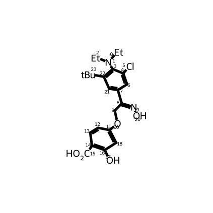 CCN(CC)c1c(Cl)cc(C(COc2ccc(C(=O)O)c(O)c2)=NO)cc1C(C)(C)C